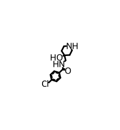 O=C(NCC1(O)CCNCC1)c1ccc(Cl)cc1